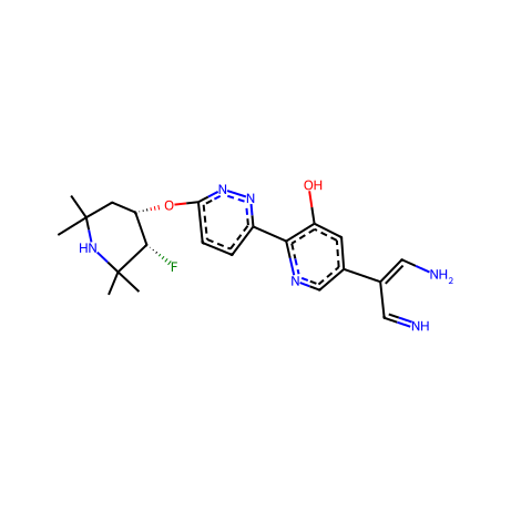 CC1(C)C[C@H](Oc2ccc(-c3ncc(/C(C=N)=C/N)cc3O)nn2)[C@H](F)C(C)(C)N1